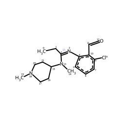 CC/C(=N/c1cccc(Cl)c1C=O)N(C)C1CCN(C)CC1